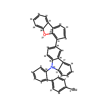 CC(C)(C)c1ccc(-c2ccccc2-n2c3ccccc3c3cc(-c4cccc5c4oc4ccccc45)ccc32)cc1